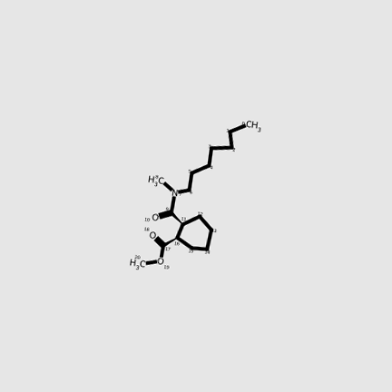 CCCCCCCN(C)C(=O)[C@H]1CCCC[C@H]1C(=O)OC